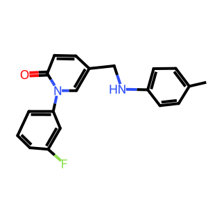 Cc1ccc(NCc2ccc(=O)n(-c3cccc(F)c3)c2)cc1